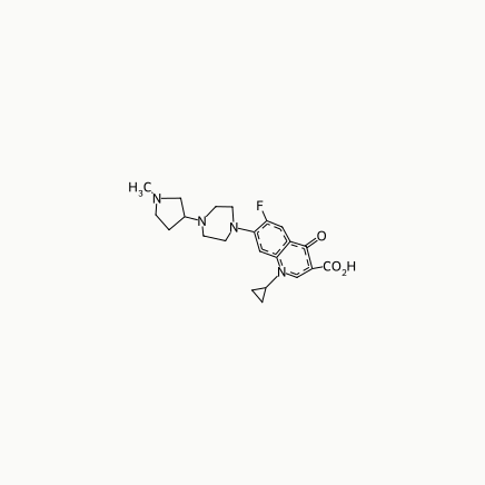 CN1CCC(N2CCN(c3cc4c(cc3F)c(=O)c(C(=O)O)cn4C3CC3)CC2)C1